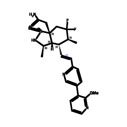 COc1ncccc1-c1ccc(/C=C/[C@@H]2[C@@H]3[C@@H](C)NS(=O)(=O)[C@]3(CC(N)=O)CC(F)(F)[C@H]2C)nc1